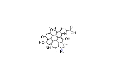 C/N=C(\C)C1C(C)=Cc2c(NC)c(O)c3c4c(c5c(OC)c6c(c7c(O)c(OC)c1c(c24)c57)=NC(C(=O)O)CS6)C(OC)=CC3=O